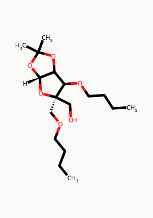 CCCCOC[C@]1(CO)O[C@@H]2OC(C)(C)OC2C1OCCCC